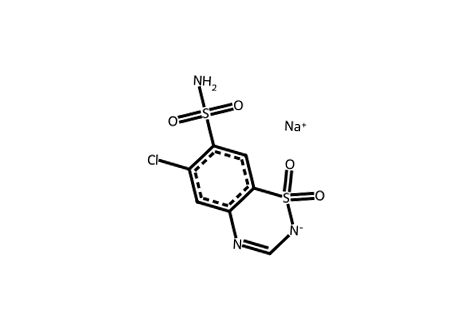 NS(=O)(=O)c1cc2c(cc1Cl)N=C[N-]S2(=O)=O.[Na+]